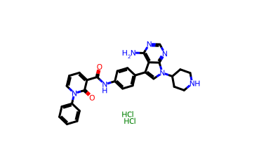 Cl.Cl.Nc1ncnc2c1c(-c1ccc(NC(=O)c3cccn(-c4ccccc4)c3=O)cc1)cn2C1CCNCC1